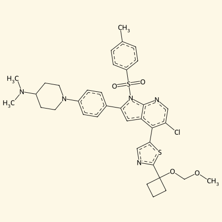 COCOC1(c2ncc(-c3c(Cl)cnc4c3cc(-c3ccc(N5CCC(N(C)C)CC5)cc3)n4S(=O)(=O)c3ccc(C)cc3)s2)CCC1